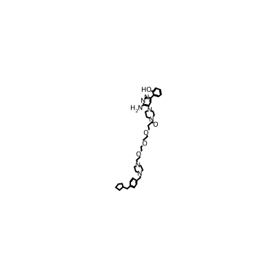 Nc1nnc(-c2ccccc2O)cc1N1CCN(C(=O)CCOCCOCCOCCN2CCN(Cc3ccc(CC4CCCC4)cc3)CC2)CC1